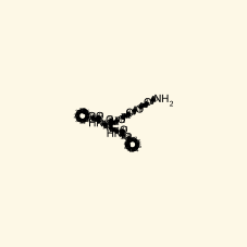 NCCOCCOCCOCCOCCC(=O)N(CCNC(=O)COC1C#CCCCCC1)CCNC(=O)COC1C#CCCCCC1